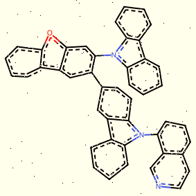 c1cc(-n2c3ccccc3c3cc(-c4cc5c(cc4-n4c6ccccc6c6ccccc64)oc4ccccc45)ccc32)c2cnccc2c1